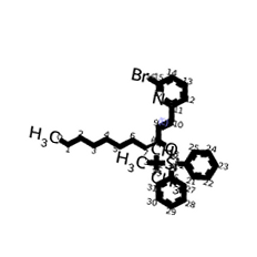 CCCCCCCC[C@@H](/C=C/c1cccc(Br)n1)O[Si](c1ccccc1)(c1ccccc1)C(C)(C)C